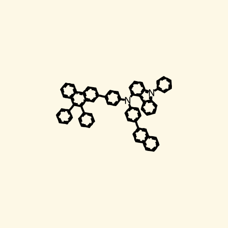 c1ccc(-c2c(-c3ccccc3)c3cc(-c4ccc(N(c5ccc(-c6ccc7ccccc7c6)cc5)c5cccc6c5c5ccccc5n6-c5ccccc5)cc4)ccc3c3ccccc23)cc1